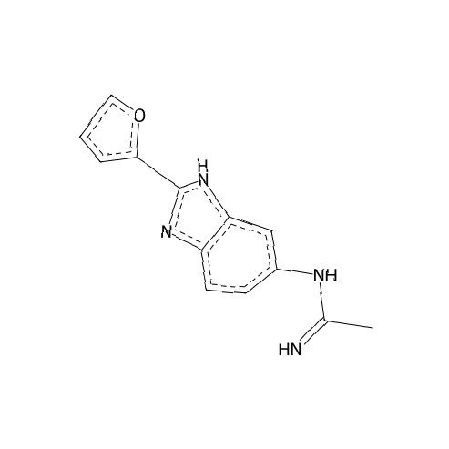 CC(=N)Nc1ccc2nc(-c3ccco3)[nH]c2c1